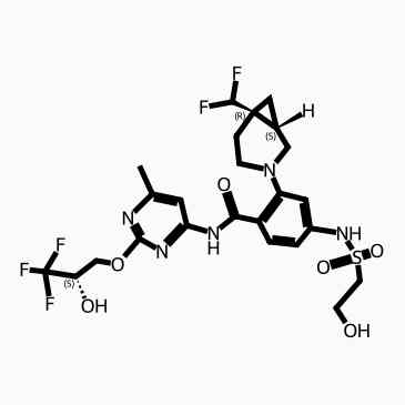 Cc1cc(NC(=O)c2ccc(NS(=O)(=O)CCO)cc2N2CC[C@]3(C(F)F)C[C@@H]3C2)nc(OC[C@H](O)C(F)(F)F)n1